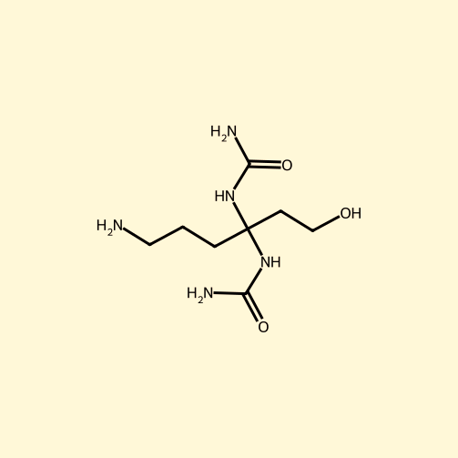 NCCCC(CCO)(NC(N)=O)NC(N)=O